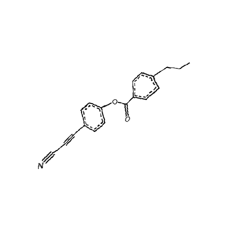 CCCc1ccc(C(=O)Oc2ccc(C#CC#N)cc2)cc1